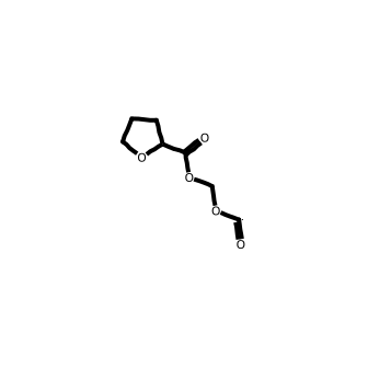 O=[C]OCOC(=O)C1CCCO1